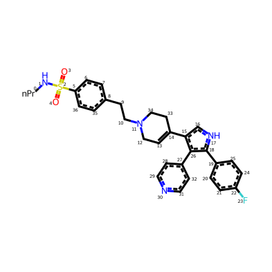 CCCNS(=O)(=O)c1ccc(CCN2CC=C(c3c[nH]c(-c4ccc(F)cc4)c3-c3ccncc3)CC2)cc1